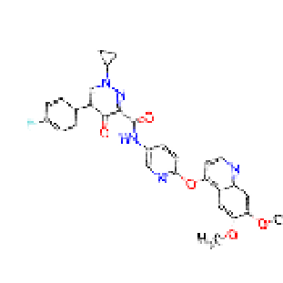 COc1cc2nccc(Oc3ccc(NC(=O)c4nn(C5CC5)cc(-c5ccc(F)cc5)c4=O)cn3)c2cc1OC